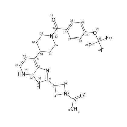 CC(=O)N1CC(C2=NC3=C(C4CCN(C(=O)c5ccc(OC(F)(F)F)cc5)CC4)C=CNC3N2)C1